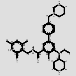 CCN(c1cc(-c2ccc(CN3CCCSC3)cc2)cc(C(=O)NCc2c(C)cc(C)[nH]c2=O)c1C)C1CCOCC1